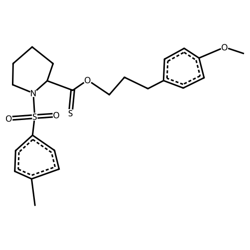 COc1ccc(CCCOC(=S)C2CCCCN2S(=O)(=O)c2ccc(C)cc2)cc1